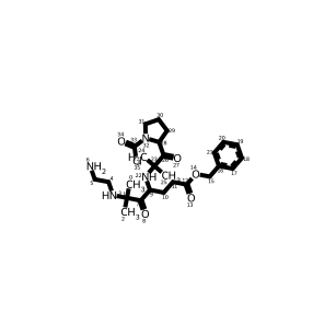 CC(C)(NCCN)C(=O)C(CCC(=O)OCc1ccccc1)NC(C)(C)C(=O)C1CCCN1C(=O)Cl